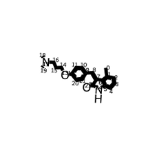 Cc1cccc2c1/C(=C/c1ccc(OCCCN(C)C)cc1)C(=O)N2